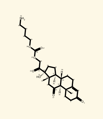 C[C@]12CCC(=O)C=C1CC[C@@H]1[C@@H]2C(=O)C[C@@]2(C)[C@H]1CC[C@]2(O)C(=O)COC(=O)OCCCCN